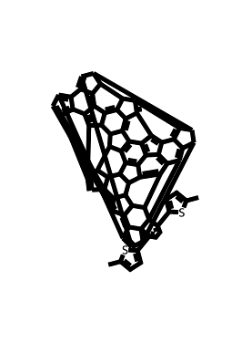 Cc1ccc(C2=CC=C(c3ccc(C)s3)C34c5c6c7c8c9c%10c%11c%12c%13c%14c%15c%16c%17c(c5c5c%16c%13c%10c75)C3C3c5c7c%10c%13c%16c%18c%19c%20c%21c%22c%23c%24c%25c(c5c5c%24c%21c%18c%105)C3C%17C%15C%25C%23C%14C%12C%22C%20=C%11C9C%19C%16C8C6C%13C274)s1